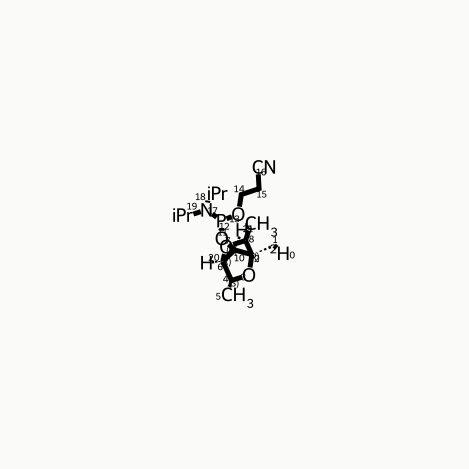 [2H]C[C@@]12O[C@@H](C)[C@@H](OC1C)[C@H]2OP(OCCC#N)N(C(C)C)C(C)C